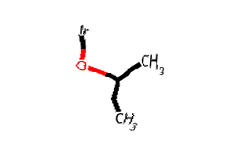 CC(C)[O][Ir]